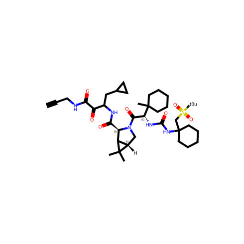 C#CCNC(=O)C(=O)C(CC1CC1)NC(=O)[C@@H]1C2[C@H](CN1C(=O)[C@@H](NC(=O)NC1(CS(=O)(=O)C(C)(C)C)CCCCC1)C1(C)CCCCC1)C2(C)C